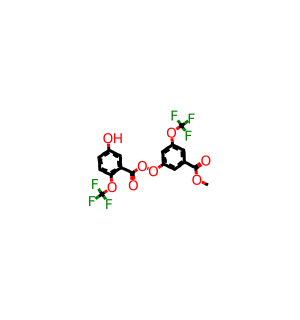 COC(=O)c1cc(OOC(=O)c2cc(O)ccc2OC(F)(F)F)cc(OC(F)(F)F)c1